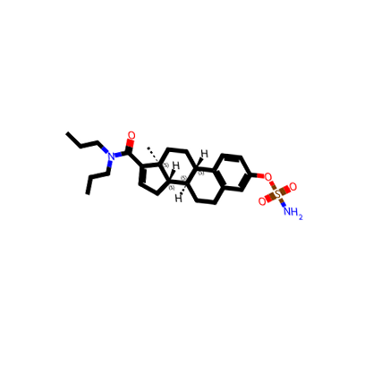 CCCN(CCC)C(=O)C1=CC[C@H]2[C@@H]3CCc4cc(OS(N)(=O)=O)ccc4[C@H]3CC[C@]12C